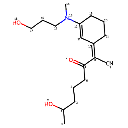 CC(O)CCCC(=O)/C(C#N)=C1\C=C(N(C)CCCO)CCC1